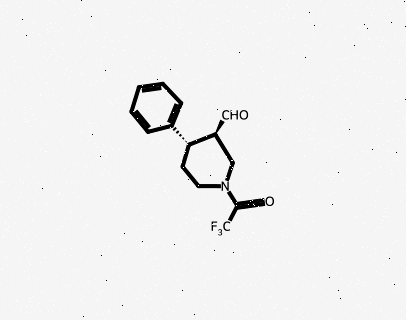 O=C[C@H]1CN(C(=O)C(F)(F)F)CC[C@@H]1c1ccccc1